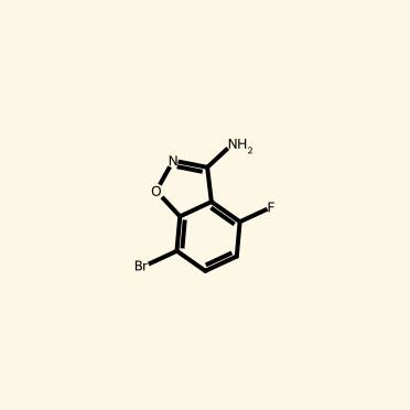 Nc1noc2c(Br)ccc(F)c12